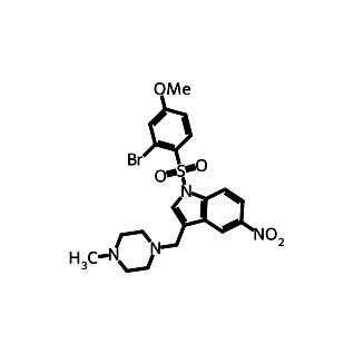 COc1ccc(S(=O)(=O)n2cc(CN3CCN(C)CC3)c3cc([N+](=O)[O-])ccc32)c(Br)c1